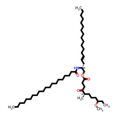 CCCCCCCCCCCCC/C=C/C[C@H](COC(=O)CCC(=O)[C@@H](C)CCCC(CC)OC)NC(=O)CCCCCCCCCCCCCCCCCCC